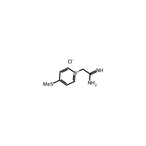 CSc1cc[n+](CC(=N)N)cc1.[Cl-]